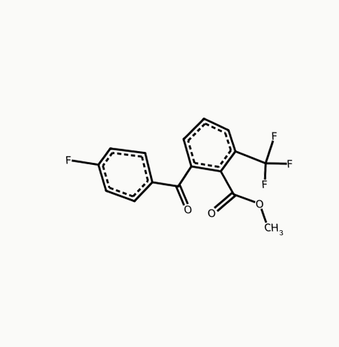 COC(=O)c1c(C(=O)c2ccc(F)cc2)cccc1C(F)(F)F